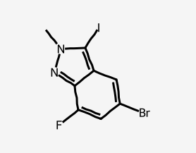 Cn1nc2c(F)cc(Br)cc2c1I